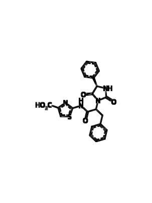 O=C(O)c1csc(NC(=O)C(Cc2ccccc2)N2C(=O)N[C@H](c3ccccc3)C2=O)n1